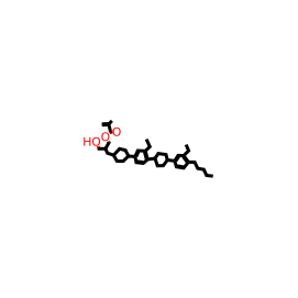 C=C(C)C(=O)OCC(CO)CC1CCC(c2ccc(C3CCC(c4ccc(CCCCC)c(CC)c4)CC3)c(CC)c2)CC1